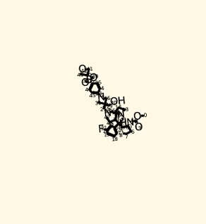 COC(=O)N[C@H]1CCC[C@@H]1[C@](CN1CCC1)(c1cccc(F)c1)C1CCN(CC2(CO)CN(c3ccc(S(=O)(=O)C4COC4)cc3)C2)CC1